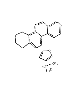 CC#N.O.c1ccc2c(c1)ccc1c3c(ccc12)CCCC3.c1ccoc1